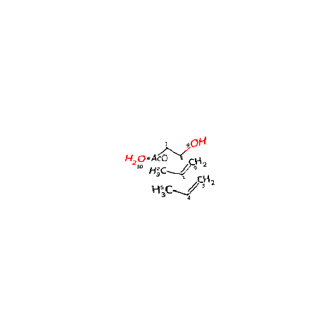 C=CC.C=CC.CC(=O)OCCO.O